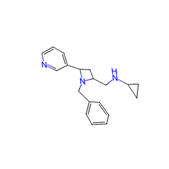 c1ccc(CN2C(CNC3CC3)CC2c2cccnc2)cc1